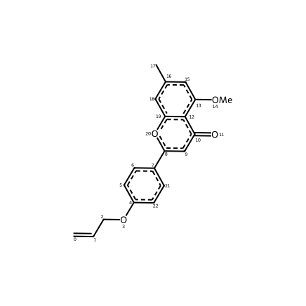 C=CCOc1ccc(-c2cc(=O)c3c(OC)cc(C)cc3o2)cc1